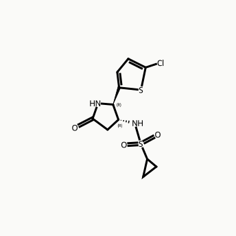 O=C1C[C@@H](NS(=O)(=O)C2CC2)[C@H](c2ccc(Cl)s2)N1